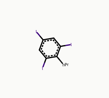 [CH2]CCc1c(I)cc(I)cc1I